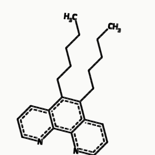 CCCCCc1c(CCCCC)c2cccnc2c2ncccc12